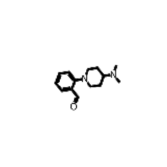 CN(C)C1CCN(c2ccccc2C=O)CC1